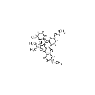 CCOc1ccc(C(=O)N(Cc2ccc(OC)cc2)N(C(=O)c2cccc(Cl)c2)C(C)(C)C(C)C)cc1